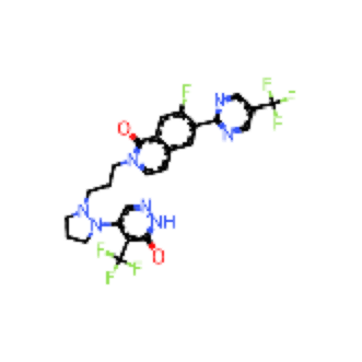 O=c1[nH]ncc(N2CCCN2CCCn2ccc3cc(-c4ncc(C(F)(F)F)cn4)c(F)cc3c2=O)c1C(F)(F)F